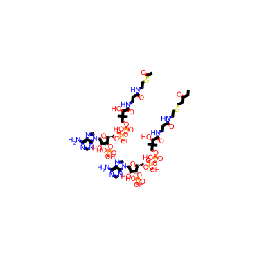 CC(=O)SCCNC(=O)CCNC(=O)C(O)C(C)(C)COP(=O)(O)OP(=O)(O)OC[C@H]1O[C@@H](n2cnc3c(N)ncnc32)[C@H](O)[C@@H]1OP(=O)(O)O.CCC(=O)CCSCCNC(=O)CCNC(=O)C(O)C(C)(C)COP(=O)(O)OP(=O)(O)OC[C@H]1O[C@@H](n2cnc3c(N)ncnc32)[C@H](O)[C@@H]1OP(=O)(O)O